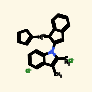 Cc1c(C)n(C2=Cc3ccccc3[CH]2[Hf+2][C]2=CC=CC2)c2ccccc12.[Cl-].[Cl-]